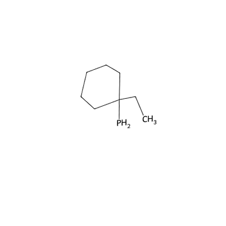 CCC1(P)CCCCC1